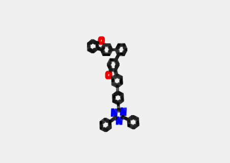 c1ccc(-c2nc(-c3ccccc3)nc(-c3ccc(-c4ccc5c(c4)oc4ccc(-c6ccccc6-c6ccc7c(c6)oc6ccccc67)cc45)cc3)n2)cc1